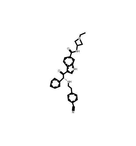 CCN1CC(NC(=O)c2ccc3c(C(=O)[C@H](NCCc4ccc(C#N)cc4)c4ccccc4)c[nH]c3c2)C1